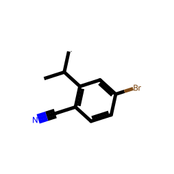 [CH2]C(C)c1cc(Br)ccc1C#N